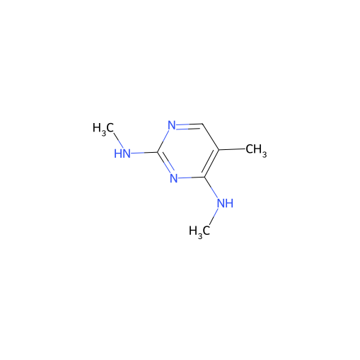 CNc1ncc(C)c(NC)n1